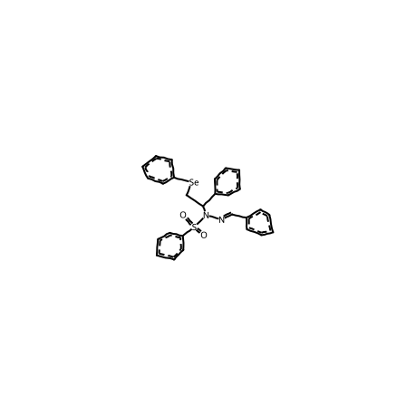 O=S(=O)(c1ccccc1)N(N=Cc1ccccc1)C(C[Se]c1ccccc1)c1ccccc1